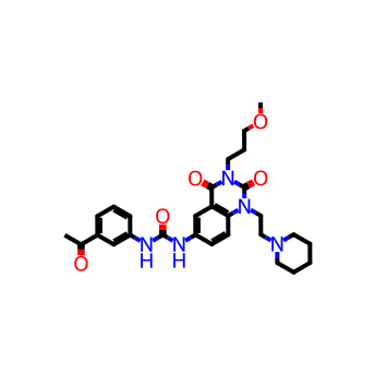 COCCCn1c(=O)c2cc(NC(=O)Nc3cccc(C(C)=O)c3)ccc2n(CCN2CCCCC2)c1=O